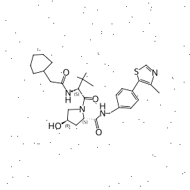 Cc1ncsc1-c1ccc(CNC(=O)[C@@H]2C[C@@H](O)CN2C(=O)[C@@H](NC(=O)CC2CCCCC2)C(C)(C)C)cc1